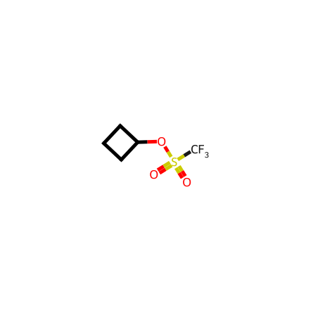 O=S(=O)(OC1CCC1)C(F)(F)F